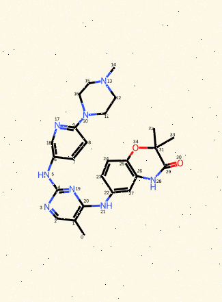 Cc1cnc(Nc2ccc(N3CCN(C)CC3)nc2)nc1Nc1ccc2c(c1)NC(=O)C(C)(C)O2